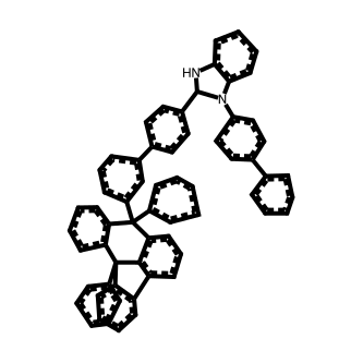 c1ccc(-c2ccc(N3c4ccccc4NC3c3ccc(-c4cccc(C5(c6ccccc6)c6ccccc6C6(c7ccccc7)c7ccccc7-c7cccc5c76)c4)cc3)cc2)cc1